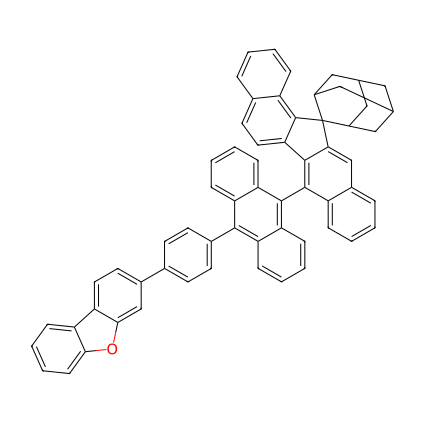 c1ccc2c(-c3c4ccccc4c(-c4ccc(-c5ccc6c(c5)oc5ccccc56)cc4)c4ccccc34)c3c(cc2c1)C1(c2c-3ccc3ccccc23)C2CC3CC(C2)CC1C3